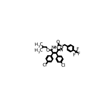 CC(C)COc1nn2c(=O)n(Cc3ccc(C(F)(F)F)cc3)nc2c(-c2ccc(Cl)cc2)c1-c1ccc(Cl)cc1